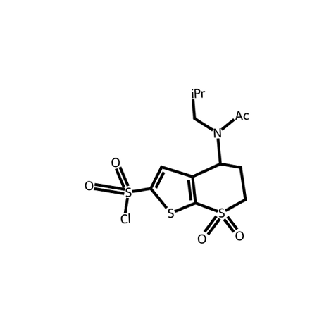 CC(=O)N(CC(C)C)C1CCS(=O)(=O)c2sc(S(=O)(=O)Cl)cc21